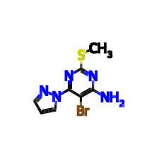 CSc1nc(N)c(Br)c(-n2cccn2)n1